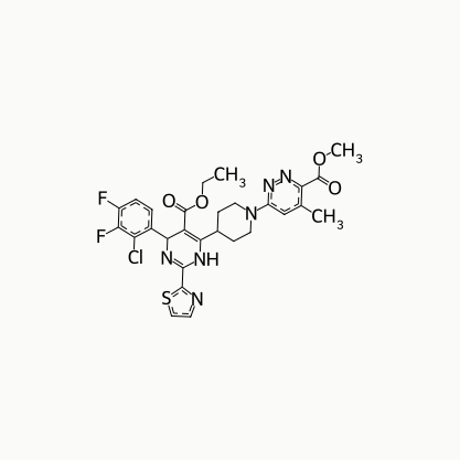 CCOC(=O)C1=C(C2CCN(c3cc(C)c(C(=O)OC)nn3)CC2)NC(c2nccs2)=NC1c1ccc(F)c(F)c1Cl